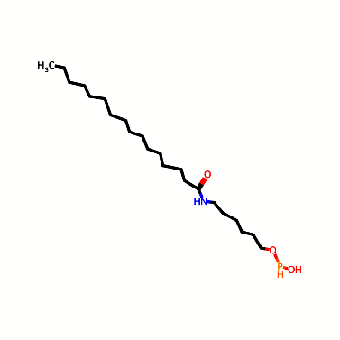 CCCCCCCCCCCCCCCC(=O)NCCCCCCOPO